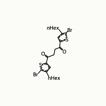 CCCCCCc1cc(C(=O)CCC(=O)c2cc(CCCCCC)c(Br)s2)sc1Br